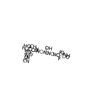 CC(C)(O)c1cc2nn(C3CCC(N4CCN(C5CCN(c6cc(F)c([C@H]7CCC(=O)NC7=O)c(F)c6)CC5)C[C@@H]4CO)CC3)cc2cc1NC(=O)c1ccc2cc(C#N)cnn12